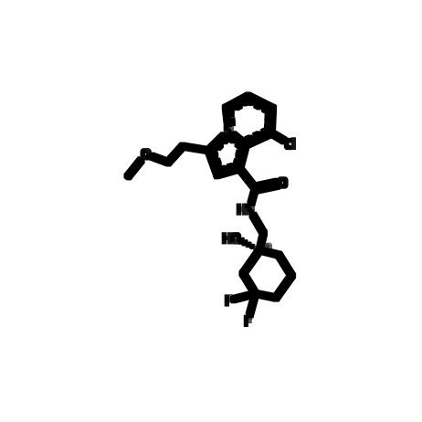 COCCc1cc(C(=O)NC[C@@]2(O)CCCC(F)(F)C2)c2c(Cl)cccn12